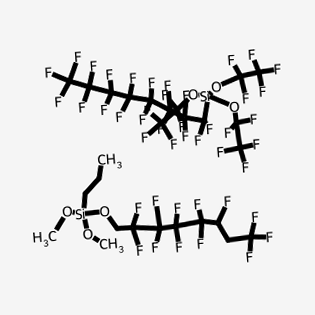 CCC[Si](OC)(OC)OCC(F)(F)C(F)(F)C(F)(F)C(F)(F)C(F)CC(F)(F)F.FC(F)(F)C(F)(F)O[Si](OC(F)(F)C(F)(F)F)(OC(F)(F)C(F)(F)F)C(F)(F)C(F)(F)C(F)(F)C(F)(F)C(F)(F)C(F)(F)C(F)(F)C(F)(F)F